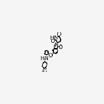 CO[C@H]1CC[C@H](CN[C@@H]2CCC[C@@H]2Oc2ccc3c(c2)CN(C2CCC(=O)NC2=O)C3=O)CC1